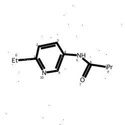 CCc1ccc(NC(=O)C(C)C)cn1